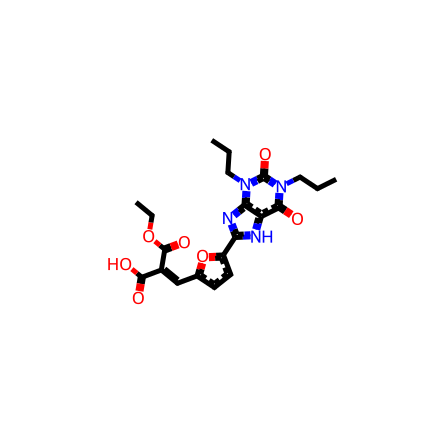 CCCn1c(=O)c2[nH]c(-c3ccc(C=C(C(=O)O)C(=O)OCC)o3)nc2n(CCC)c1=O